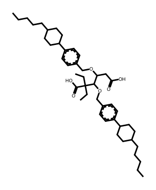 CCCCCC1CCC(c2ccc(COC(CC(=O)O)C(OCc3ccc(C4CCC(CCCCC)CC4)cc3)C(CC)(CC)C(=O)O)cc2)CC1